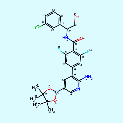 CC1(C)OB(c2cnc(N)c(-c3cc(F)c(C(=O)NC(CO)c4cccc(Cl)c4)c(F)c3)c2)OC1(C)C